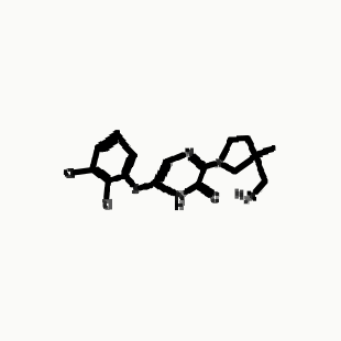 CC1(CN)CCN(c2ncc(Sc3cccc(Cl)c3Cl)[nH]c2=O)C1